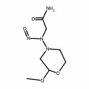 COC1CN(N(CC(N)=O)N=O)CCO1